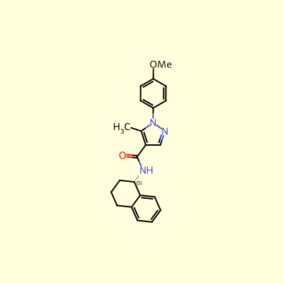 COc1ccc(-n2ncc(C(=O)N[C@H]3CCCc4ccccc43)c2C)cc1